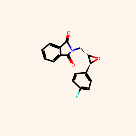 O=C1c2ccccc2C(=O)N1C[C@@H]1O[C@H]1c1ccc(F)cc1